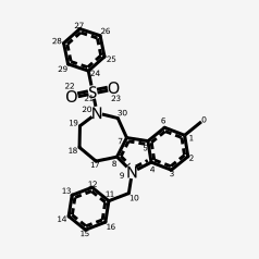 Cc1ccc2c(c1)c1c(n2Cc2ccccc2)CCCN(S(=O)(=O)c2ccccc2)C1